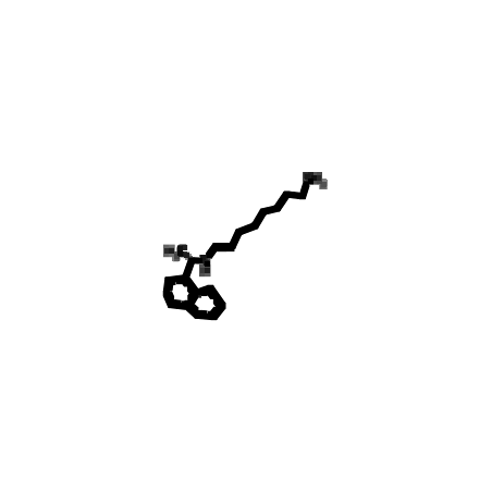 C[C@H](NC=CCCCCCCN)c1cccc2ccccc12